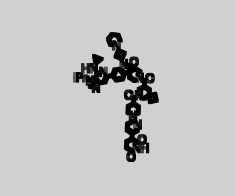 CC(C)n1cnc2cc(-c3ccc4c(c3)N([C@H]3C[C@@H](N5CCCCC5)C3)C(=O)C43CCN(C(=O)C4CN(C(=O)C5CCN(C6CC=C(C7CCC(=O)NC7=O)C=N6)CC5)CC5(CCC5)C4)CC3)nc(NC3CC3)c21